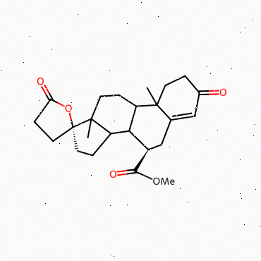 COC(=O)[C@@H]1CC2=CC(=O)CCC2(C)C2CCC3(C)C(CC[C@@]34CCC(=O)O4)C21